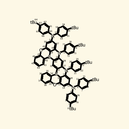 CC(C)(C)c1ccc(N(c2ccc(C(C)(C)C)cc2)c2cc3c4c(c2)N(c2ccc(C(C)(C)C)cc2)c2cc5c(cc2B4c2ccccc2O3)B2c3ccccc3Oc3cc(N(c4ccc(C(C)(C)C)cc4)c4ccc(C(C)(C)C)cc4)cc(c32)N5c2ccc(C(C)(C)C)cc2)cc1